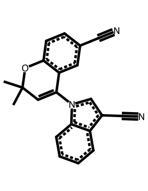 CC1(C)C=C(n2cc(C#N)c3ccccc32)c2cc(C#N)ccc2O1